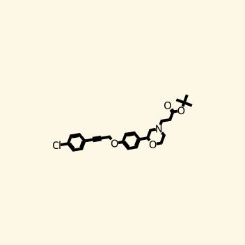 CC(C)(C)OC(=O)CCN1CCOC(c2ccc(OCC#Cc3ccc(Cl)cc3)cc2)C1